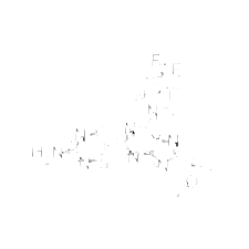 CC1(C)OCCn2c1nc1c(N3CC4CC3CC4(F)F)nc(-c3cnc(N)nc3)nc12